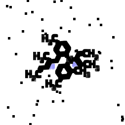 C=C/C=C(\C)Cc1cc(C)ccc1N(/C(C=C)=C/C)c1ccc(C)cc1C